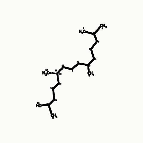 CC(C)CCCC(C)CCC[C@@H](C)CCCC(C)O